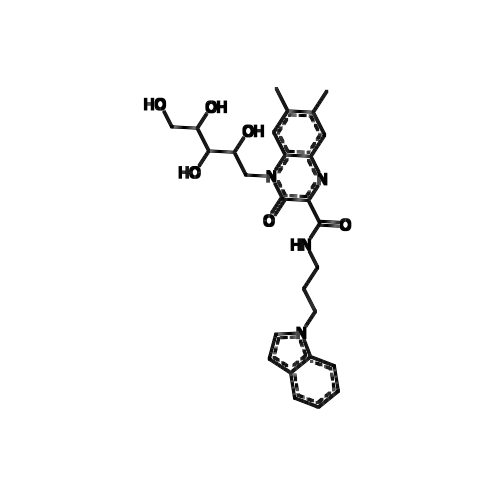 Cc1cc2nc(C(=O)NCCCn3ccc4ccccc43)c(=O)n(CC(O)C(O)C(O)CO)c2cc1C